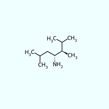 CC(C)C[C@@H](N)[C@H](C)C(C)C